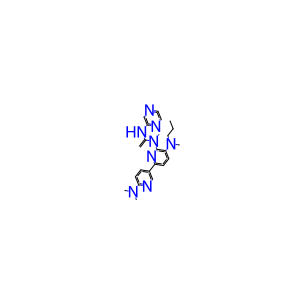 C=C(Nc1cnccn1)N(C)c1nc(-c2ccc(N(C)C)nc2)ccc1N(C)CCC